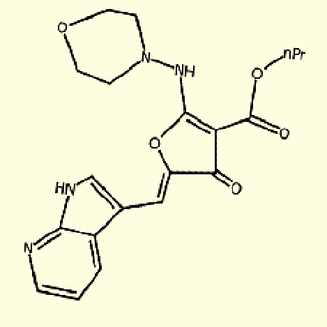 CCCOC(=O)C1=C(NN2CCOCC2)OC(=Cc2c[nH]c3ncccc23)C1=O